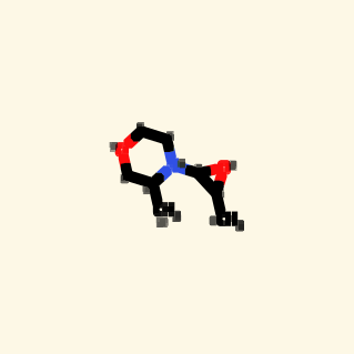 CC1OC1N1CCOCC1C